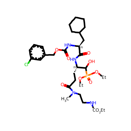 CCOC(=O)NCCN(C)C(=O)CC[C@H](NC(=O)[C@H](CC1CCCCC1)NC(=O)OCc1cccc(Cl)c1)C(O)P(=O)(OCC)OCC